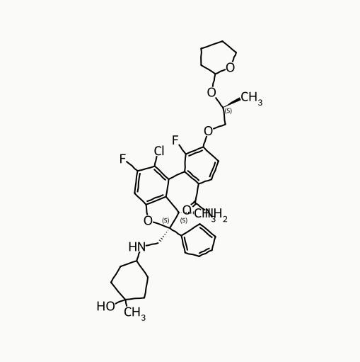 C[C@@H](COc1ccc(C(N)=O)c(-c2c(Cl)c(F)cc3c2[C@H](C)[C@@](CNC2CCC(C)(O)CC2)(c2ccccc2)O3)c1F)OC1CCCCO1